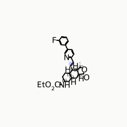 CCOC(=O)N[C@H]1CC[C@H]2[C@H](C1)C[C@@H]1C(=O)O[C@@H](C)[C@@H]1[C@@H]2/C=C/c1ccc(-c2cccc(F)c2)cn1